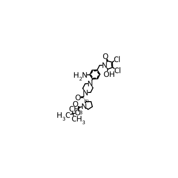 CC(C)(C)OC(=O)N1CCC[C@H]1C(=O)N1CCN(c2ccc(CN3C(=O)C(Cl)=C(Cl)C3O)cc2N)CC1